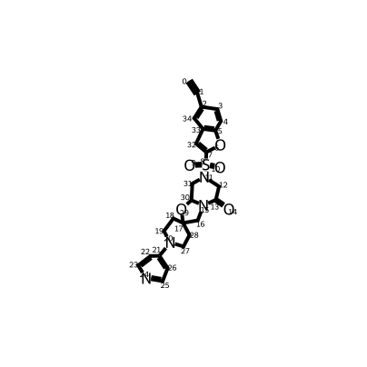 C#Cc1ccc2oc(S(=O)(=O)N3CC(=O)N4CC5(CCN(c6ccncc6)CC5)OC4C3)cc2c1